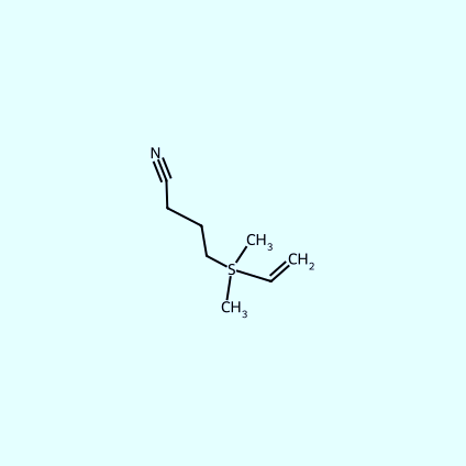 C=CS(C)(C)CCCC#N